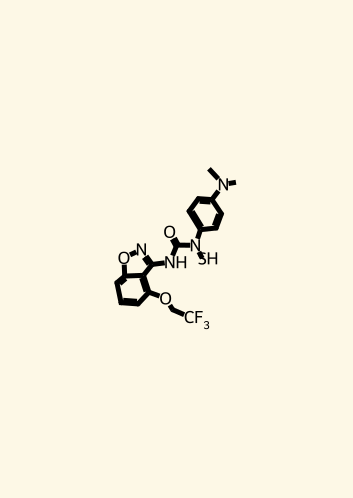 CN(C)c1ccc(N(S)C(=O)Nc2noc3cccc(OCC(F)(F)F)c23)cc1